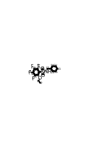 CCOc1c(F)c(F)c(F)c(F)c1S(=O)(=O)NCc1ccccc1